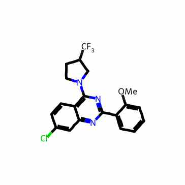 COc1ccccc1-c1nc(N2CCC(C(F)(F)F)C2)c2ccc(Cl)cc2n1